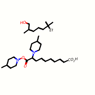 CC1CCN(OC(=O)C(CCCCCCCC(=O)O)N2CCC(C)CC2)CC1.CCC(C)(C)CCCC(C)CO